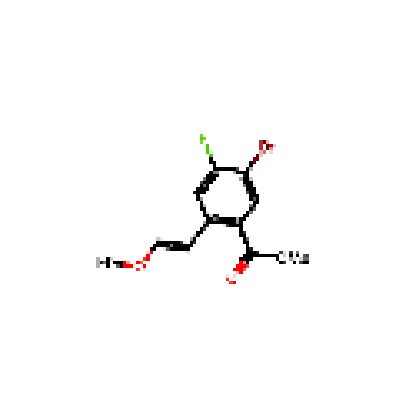 CCOC=Cc1cc(F)c(Br)cc1C(=O)OC